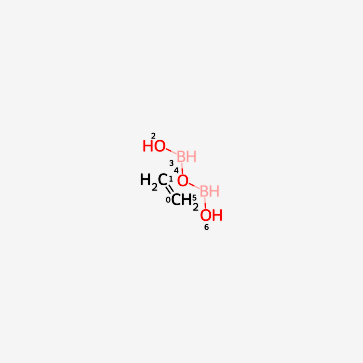 C=C.OBOBO